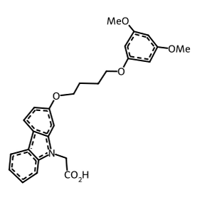 COc1cc(OC)cc(OCCCCOc2ccc3c4ccccc4n(CC(=O)O)c3c2)c1